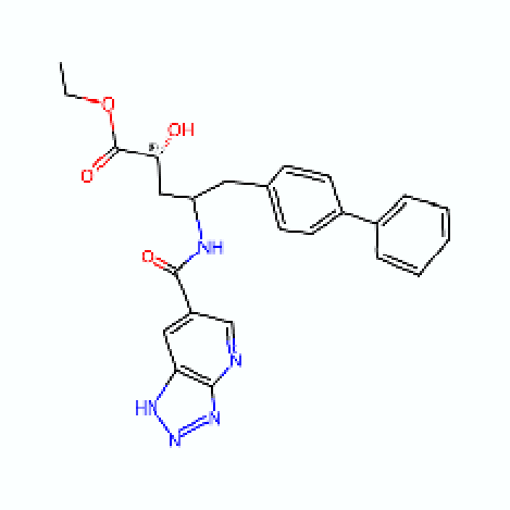 CCOC(=O)[C@H](O)CC(Cc1ccc(-c2ccccc2)cc1)NC(=O)c1cnc2nn[nH]c2c1